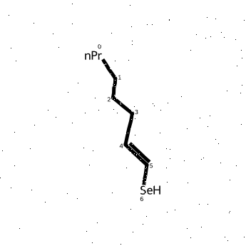 CCCCCCC=C[SeH]